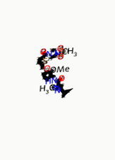 COc1c(CNC(=O)c2cc(C3CC3)nn2C)cccc1OCc1ccc(C(=O)N2CCN(S(C)(=O)=O)CC2)s1